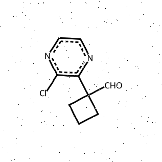 O=CC1(c2nccnc2Cl)CCC1